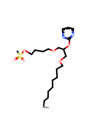 CCCCCCCCCCCCCCCCCCOCC(COCCCCOS(C)(=O)=O)Oc1ncccn1